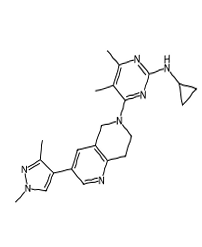 Cc1nn(C)cc1-c1cnc2c(c1)CN(c1nc(NC3CC3)nc(C)c1C)CC2